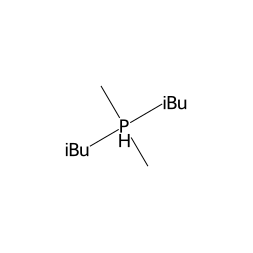 CCC(C)[PH](C)(C)C(C)CC